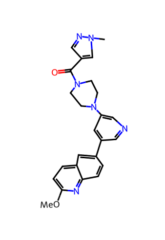 COc1ccc2cc(-c3cncc(N4CCN(C(=O)c5cnn(C)c5)CC4)c3)ccc2n1